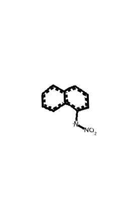 O=[N+]([O-])[N]c1cccc2ccccc12